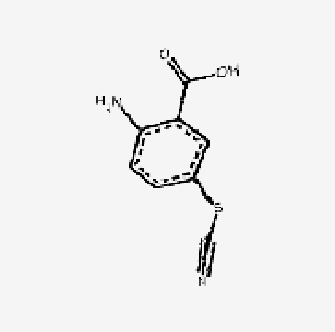 N#CSc1ccc(N)c(C(=O)O)c1